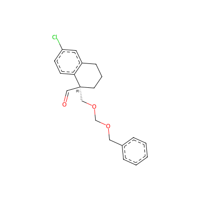 O=C[C@]1(COCOCc2ccccc2)CCCc2cc(Cl)ccc21